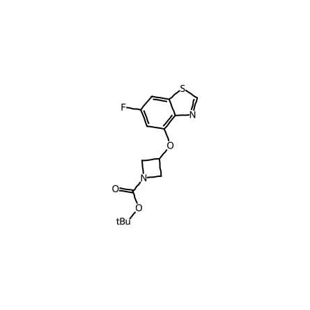 CC(C)(C)OC(=O)N1CC(Oc2cc(F)cc3scnc23)C1